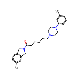 CC(=O)c1ccc2c(c1)CN(C(=O)CCCCCN1CCN(c3cccc(C(F)(F)F)c3)CC1)C2